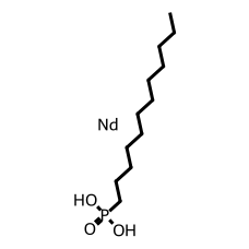 CCCCCCCCCCCCP(=O)(O)O.[Nd]